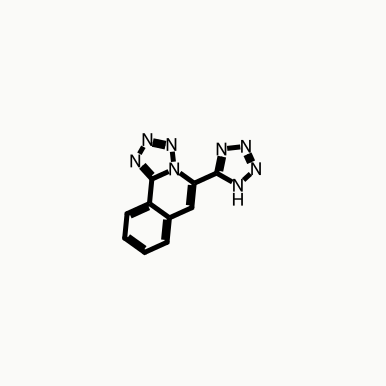 c1ccc2c(c1)cc(-c1nnn[nH]1)n1nnnc21